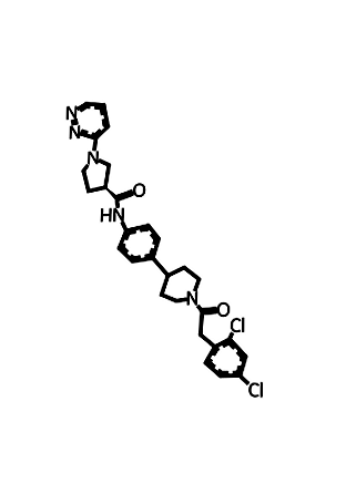 O=C(Nc1ccc(C2CCN(C(=O)Cc3ccc(Cl)cc3Cl)CC2)cc1)[C@H]1CCN(c2cccnn2)C1